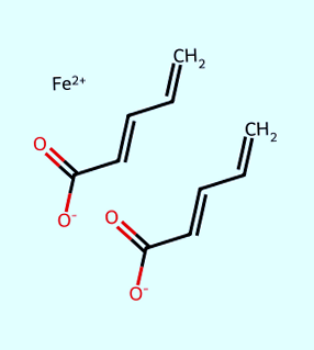 C=CC=CC(=O)[O-].C=CC=CC(=O)[O-].[Fe+2]